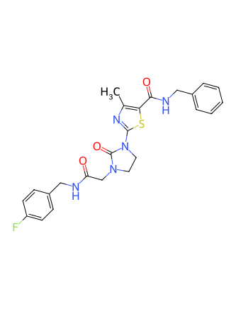 Cc1nc(N2CCN(CC(=O)NCc3ccc(F)cc3)C2=O)sc1C(=O)NCc1ccccc1